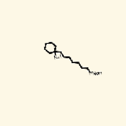 CCCCCCCCCCCCCCCCC1([NH])CCCCC1